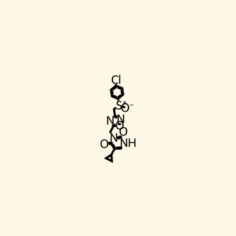 O=c1[nH]cc(C2CC2)c(=O)n1Cc1nc(C[S+]([O-])c2ccc(Cl)cc2)no1